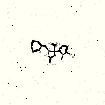 CCCCCCC1CC(C(N)=O)(c2ncc([N+](=O)[O-])n2C)N(Cc2ccccc2)O1